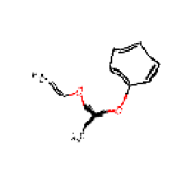 C=COC(C)Oc1ccccc1